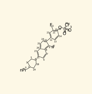 CCCC1CCC(c2ccc3c(F)c(-c4ccc(OS(=O)(=O)C(F)(F)F)c(F)c4)ccc3c2)CC1